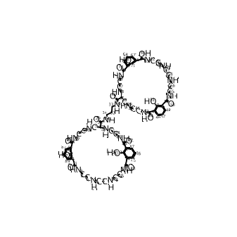 O=C1NCCNCCNCCNC(=O)c2cccc(c2O)C(=O)NCCNC(C(=O)NCCCNC(=O)C2CNCCNC(=O)c3cccc(c3O)C(=O)NCCNCCNCCNC(=O)c3cccc(c3O)C(=O)NCCN2)CNCCNC(=O)c2cccc1c2O